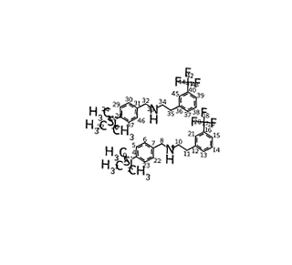 C[Si](C)(C)c1ccc(CNCCc2cccc(C(F)(F)F)c2)cc1.C[Si](C)(C)c1ccc(CNCCc2cccc(C(F)(F)F)c2)cc1